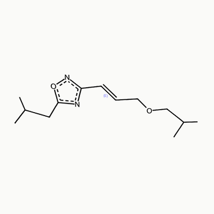 CC(C)COC/C=C/c1noc(CC(C)C)n1